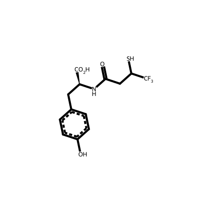 O=C(CC(S)C(F)(F)F)N[C@@H](Cc1ccc(O)cc1)C(=O)O